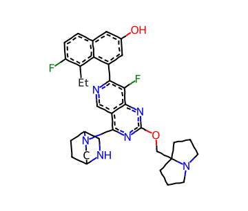 CCc1c(F)ccc2cc(O)cc(-c3ncc4c(N5CC6CCC5CN6)nc(OCC56CCCN5CCC6)nc4c3F)c12